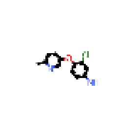 Cc1ccc(Oc2ccc([NH])cc2Cl)cn1